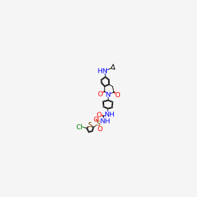 O=C(Nc1ccc(N2C(=O)Cc3cc(NC4CC4)ccc3C2=O)cc1)NS(=O)(=O)c1ccc(Cl)s1